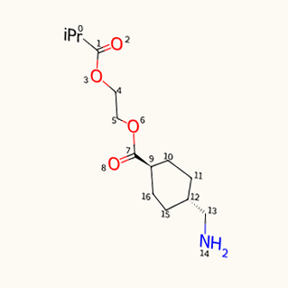 CC(C)C(=O)OCCOC(=O)[C@H]1CC[C@H](CN)CC1